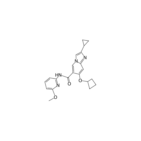 COc1cccc(NC(=O)c2cn3cc(C4CC4)nc3cc2OC2CCC2)n1